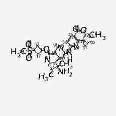 CCC(C)(N)c1cnc(O[C@H]2C[C@@H](S(C)(=O)=O)C2)c2cnc(Nc3ccc4c(n3)C3(CC3)[C@@H](C)OC4=O)cc12